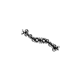 C=C(C)C(=O)OCCOCCOC1CCC(C(C)(C)C2CCC(OCCOCCOC(=O)C(=C)C)CC2)CC1